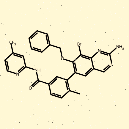 Cc1ccc(C(=O)Nc2cc(C(F)(F)F)ccn2)cc1-c1cc2cnc(N)nc2c(Br)c1OCc1ccccc1